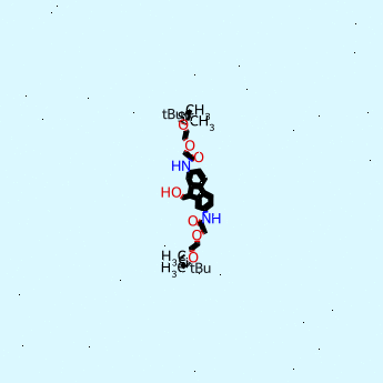 CC(C)(C)[Si](C)(C)OCCOCC(=O)Nc1ccc2c(c1)C(CO)c1cc(NC(=O)COCCO[Si](C)(C)C(C)(C)C)ccc1-2